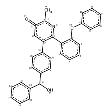 Cn1nc(-c2ccccc2Oc2ccccc2)c(-c2ccc(C(O)c3ccccc3)cc2)cc1=O